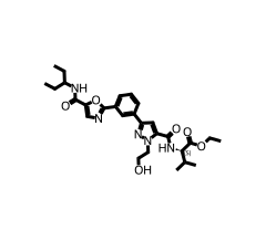 CCOC(=O)[C@@H](NC(=O)c1cc(-c2cccc(-c3ncc(C(=O)NC(CC)CC)o3)c2)nn1CCO)C(C)C